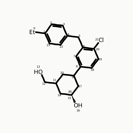 CCc1ccc(Cc2cc(C3CC(CO)C[C@H](O)C3)ccc2Cl)cc1